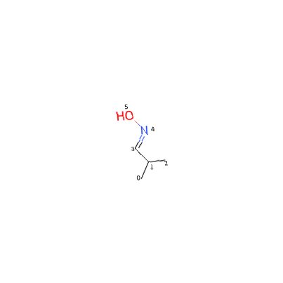 CC(C)C=NO